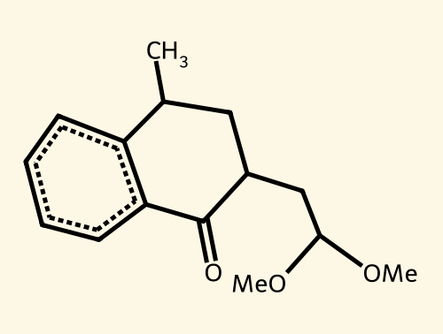 COC(CC1CC(C)c2ccccc2C1=O)OC